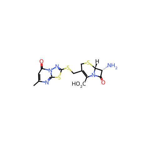 Cc1cc(=O)n2nc(SCC3=C(C(=O)O)N4C(=O)[C@@H](N)[C@H]4SC3)sc2n1